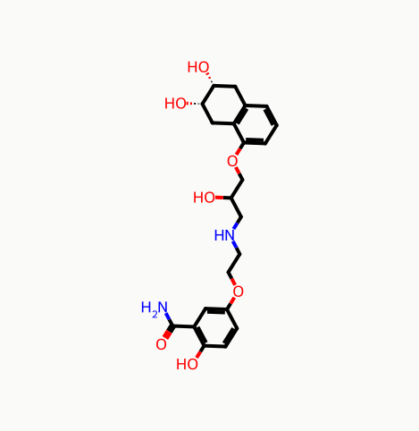 NC(=O)c1cc(OCCNCC(O)COc2cccc3c2C[C@H](O)[C@H](O)C3)ccc1O